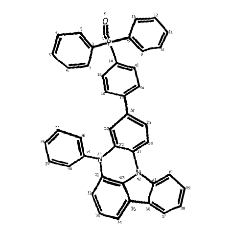 O=P(c1ccccc1)(c1ccccc1)c1ccc(-c2ccc3c(c2)N(c2ccccc2)c2cccc4c5ccccc5n-3c24)cc1